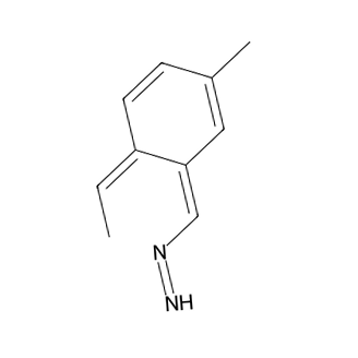 C/C=c1/ccc(C)c/c1=C/N=N